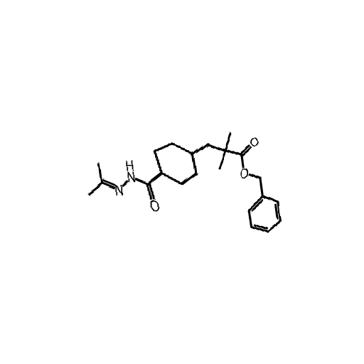 CC(C)=NNC(=O)C1CCC(CC(C)(C)C(=O)OCc2ccccc2)CC1